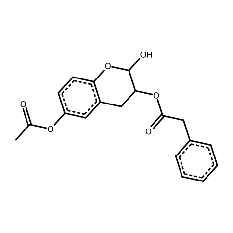 CC(=O)Oc1ccc2c(c1)CC(OC(=O)Cc1ccccc1)C(O)O2